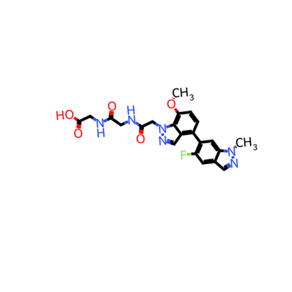 COc1ccc(-c2cc3c(cnn3C)cc2F)c2cnn(CC(=O)NCC(=O)NCC(=O)O)c12